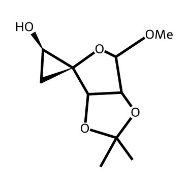 COC1O[C@]2(C[C@H]2O)C2OC(C)(C)OC12